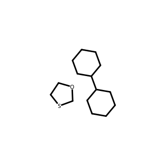 C1CCC(C2CCCCC2)CC1.C1CSCO1